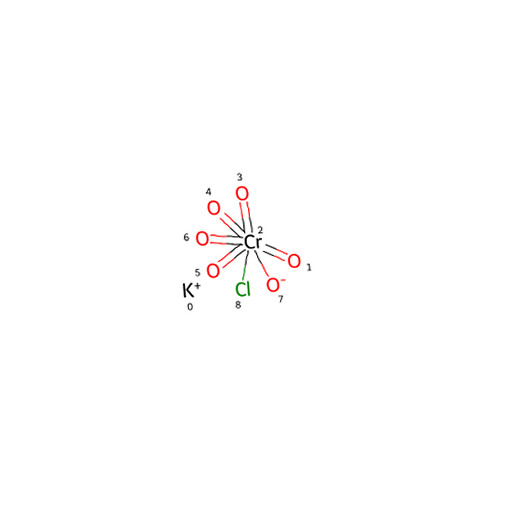 [K+].[O]=[Cr](=[O])(=[O])(=[O])(=[O])([O-])[Cl]